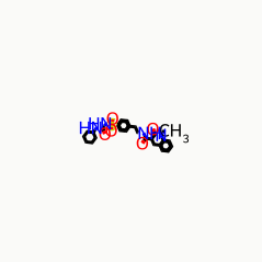 CN1C(=O)C(C(=O)NCCc2ccc(S(=O)(=O)NC(=O)NC3CCCCC3)cc2)Cc2ccccc21